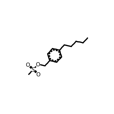 CCCCCc1ccc(COS(C)(=O)=O)cc1